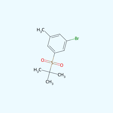 Cc1cc(Br)cc(S(=O)(=O)C(C)(C)C)c1